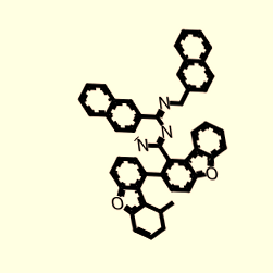 C=N/C(=N\C(=N/Cc1ccc2ccccc2c1)c1ccc2ccccc2c1)c1c(-c2cccc3oc4c(c23)C(C)CC=C4)ccc2oc3ccccc3c12